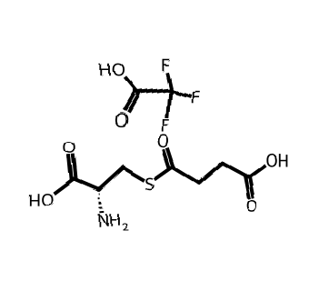 N[C@@H](CSC(=O)CCC(=O)O)C(=O)O.O=C(O)C(F)(F)F